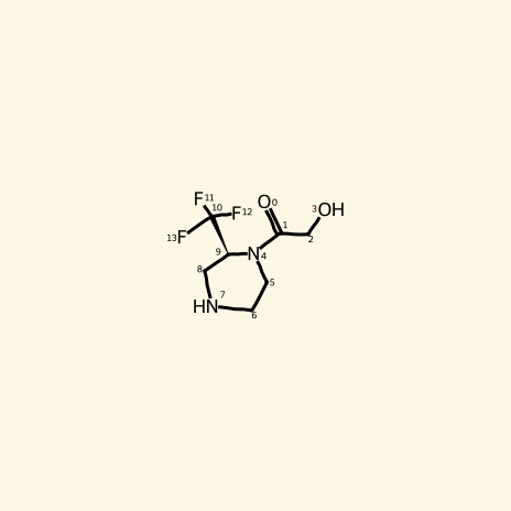 O=C(CO)N1CCNC[C@H]1C(F)(F)F